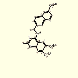 COc1ccc2cc(C(C)Nc3nc(C)nc4cc(OC)c(OC)cc34)ccc2c1